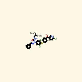 COC(CNC(=O)N(/N=C/c1ccccc1)c1cc(Cl)c(Sc2ccc(C(=O)c3ccc(Cl)nc3)cc2)c(Cl)c1)OC